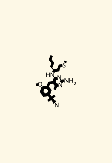 CCCC[C@@H](CCSC)Nc1nc(N)nc(C)c1Cc1cc(C(C)(C)C#N)ccc1OC